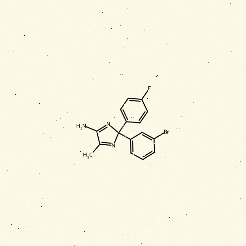 CC1=NC(c2ccc(F)cc2)(c2cccc(Br)c2)N=C1N